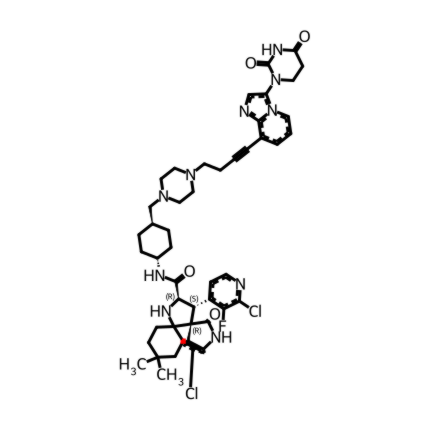 CC1(C)CCC2(CC1)N[C@@H](C(=O)N[C@H]1CC[C@H](CN3CCN(CCC#Cc4cccn5c(N6CCC(=O)NC6=O)cnc45)CC3)CC1)[C@H](c1ccnc(Cl)c1F)[C@]21C(=O)Nc2cc(Cl)ccc21